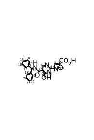 O=C(O)c1cc(-c2ncc(C(=O)NC(c3ccccc3)c3ccccc3)c(O)n2)no1